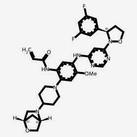 C=CC(=O)Nc1cc(Nc2cc(N3OCC[C@@H]3c3cc(F)cc(F)c3)ncn2)c(OC)cc1N1CCC(N2C[C@@H]3C[C@H]2CO3)CC1